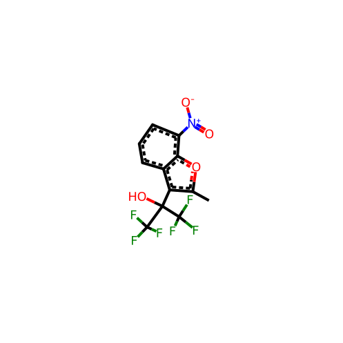 Cc1oc2c([N+](=O)[O-])cccc2c1C(O)(C(F)(F)F)C(F)(F)F